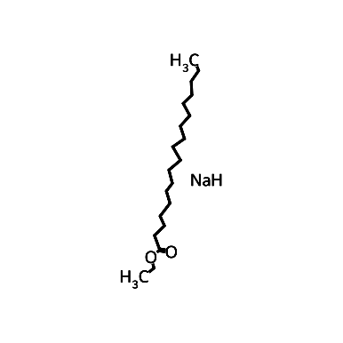 CCCCCCCCCCCCCCCCCC(=O)OCC.[NaH]